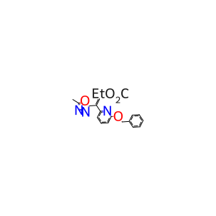 CCOC(=O)/C=C(/c1cccc(OCc2ccccc2)n1)c1nnc(C)o1